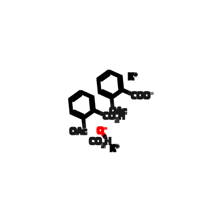 CC(=O)Oc1ccccc1C(=O)O.CC(=O)Oc1ccccc1C(=O)[O-].O=C([O-])O.[K+].[K+]